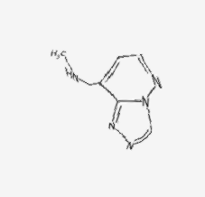 CNc1ccnn2cnnc12